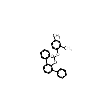 Cc1ccc(OC(=O)Oc2c(-c3ccccc3)cccc2-c2ccccc2)c(C)c1